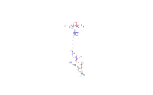 CC/N=C1/C=CC2=C(c3ccccc3C(=O)N3CCN(C(=O)CCCCCCCCc4cn(C5CC(C)(C)N(O)C(C)(C)C5)nn4)CC3)C3C(=O)Oc4cc(N(CC)CC)ccc4C3OC2=C1